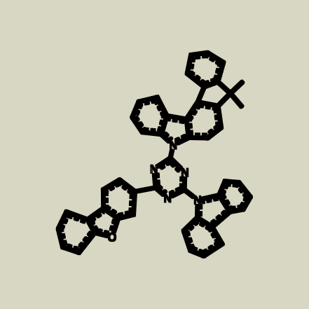 CC1(C)c2ccccc2-c2c1ccc1c2c2ccccc2n1-c1nc(-c2ccc3c(c2)oc2ccccc23)nc(-n2c3ccccc3c3ccccc32)n1